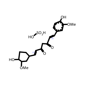 COc1cc(/C=C/C(=O)CC(=O)/C=C/C2CCC(O)C(OC)C2)ccc1O.O=S(=O)(O)O